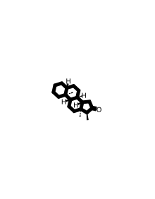 C[C@@H]1C(=O)C[C@H]2[C@@H]3CC[C@H]4CCCC[C@]4(C)[C@H]3CC[C@]12C